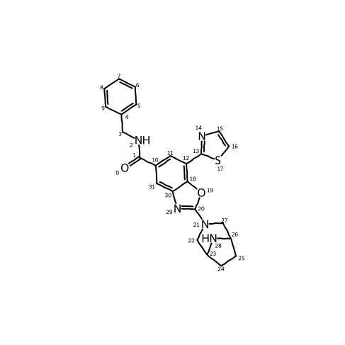 O=C(NCc1ccccc1)c1cc(-c2nccs2)c2oc(N3CC4CCC(C3)N4)nc2c1